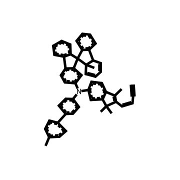 C#C/C=C\C1=C(C)c2ccc(N(c3ccc(-c4ccc(C)cc4)cc3)c3ccc4c(c3)C3(c5ccccc5-4)c4ccccc4C4C=CC=CC43C)cc2C1(C)C